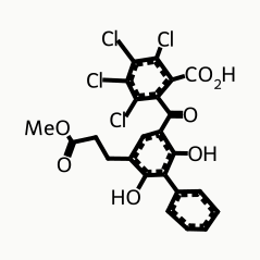 COC(=O)CCc1cc(C(=O)c2c(Cl)c(Cl)c(Cl)c(Cl)c2C(=O)O)c(O)c(-c2ccccc2)c1O